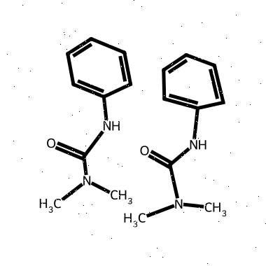 CN(C)C(=O)Nc1ccccc1.CN(C)C(=O)Nc1ccccc1